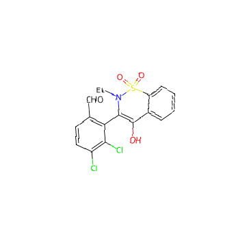 CCN1C(c2c(C=O)ccc(Cl)c2Cl)=C(O)c2ccccc2S1(=O)=O